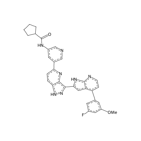 COc1cc(F)cc(-c2ccnc3[nH]c(-c4n[nH]c5ccc(-c6cncc(NC(=O)C7CCCC7)c6)nc45)cc23)c1